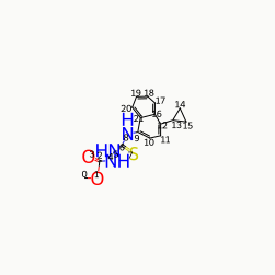 COC(=O)NNC(=S)Nc1ccc(C2CC2)c2ccccc12